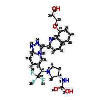 O=C(O)N[C@H]1CCN([C@H](c2ccc3nnc(-c4ccc5cccc(OCCO)c5n4)n3c2)C(F)(F)F)C1